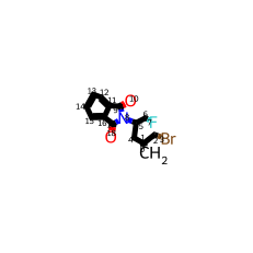 C=C(CBr)CC(CF)N1C(=O)c2ccccc2C1=O